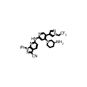 CC(C)n1nc(C#N)c2ccc(Nc3cc(N4CCC[C@H](N)C4)c(-c4cnn(CC(F)(F)F)c4)cn3)nc21